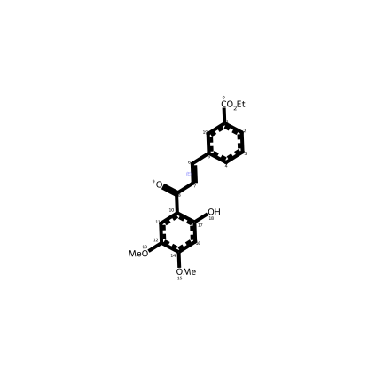 CCOC(=O)c1cccc(/C=C/C(=O)c2cc(OC)c(OC)cc2O)c1